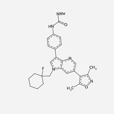 CNC(=O)Nc1ccc(-c2cn(CC3(F)CCCCC3)c3cc(-c4c(C)noc4C)cnc23)cc1